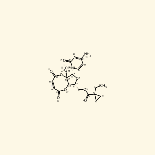 CCC1(C(=O)OC[C@H]2O[C@@H]([N+]3(C)C=CC(N)=NC3=O)[C@H]3OC(=O)/C=C\C(=O)OC23)CC1